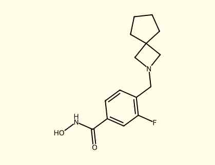 O=C(NO)c1ccc(CN2CC3(CCCC3)C2)c(F)c1